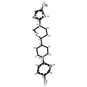 N#Cc1cnc(N2CCC(C3CCN(c4ccc(Cl)cn4)CC3)CC2)s1